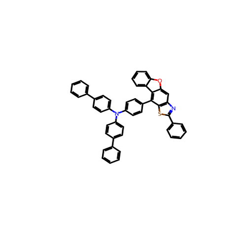 c1ccc(-c2ccc(N(c3ccc(-c4ccccc4)cc3)c3ccc(-c4c5sc(-c6ccccc6)nc5cc5oc6ccccc6c45)cc3)cc2)cc1